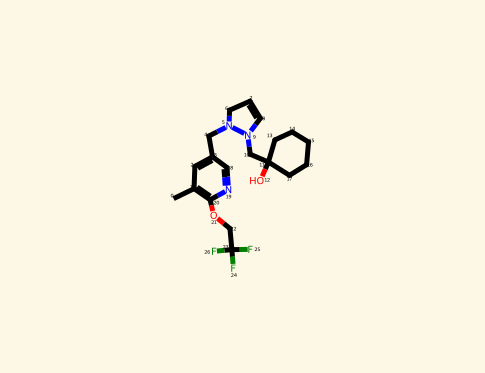 Cc1cc(CN2CC=CN2CC2(O)CCCCC2)cnc1OCC(F)(F)F